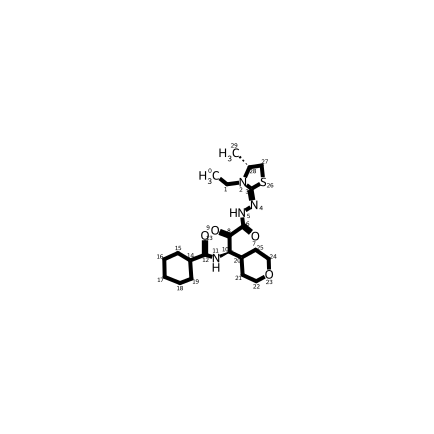 CCN1C(=NNC(=O)C(=O)[C@H](NC(=O)C2CCCCC2)C2CCOCC2)SC[C@H]1C